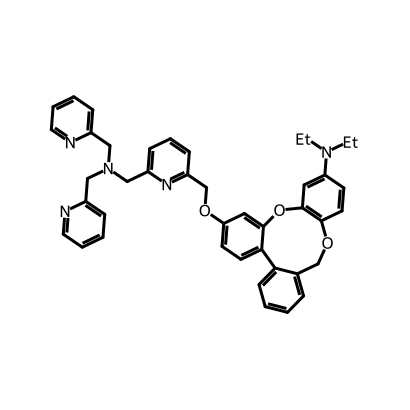 CCN(CC)c1ccc2c(c1)Oc1cc(OCc3cccc(CN(Cc4ccccn4)Cc4ccccn4)n3)ccc1-c1ccccc1CO2